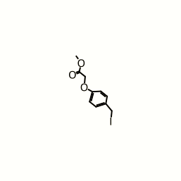 COC(=O)COc1ccc(CI)cc1